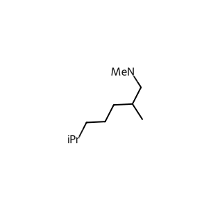 CNCC(C)CCCC(C)C